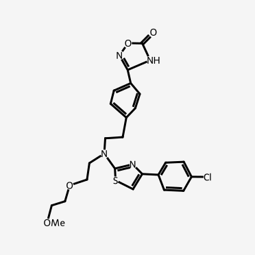 COCCOCCN(CCc1ccc(-c2noc(=O)[nH]2)cc1)c1nc(-c2ccc(Cl)cc2)cs1